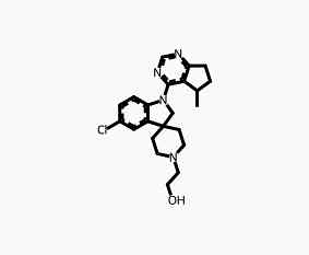 CC1CCc2ncnc(N3CC4(CCN(CCO)CC4)c4cc(Cl)ccc43)c21